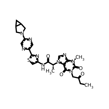 CCC(=O)Cn1c(=O)c2c(ncn2[C@@H](C)C(=O)Nc2csc(-c3cnc(N4CC5CC5C4)cn3)n2)n(C)c1=O